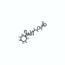 O=C(NCCCCOCC1CO1)C1CCCCCC1